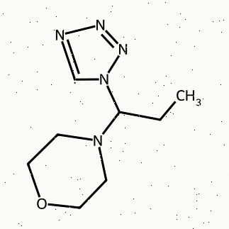 CCC(N1CCOCC1)n1[c]nnn1